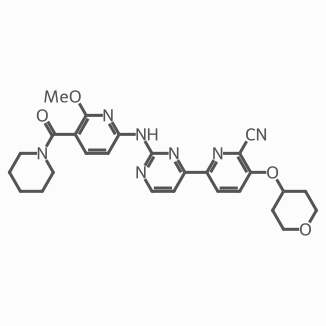 COc1nc(Nc2nccc(-c3ccc(OC4CCOCC4)c(C#N)n3)n2)ccc1C(=O)N1CCCCC1